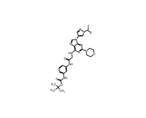 CC(C)(C)OC(=O)Nc1cccc(NC(=O)CNc2nc(N3CCOCC3)nc3c2ncn3-c2cnn(C(F)F)c2)c1